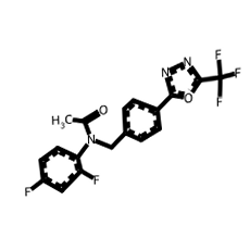 CC(=O)N(Cc1ccc(-c2nnc(C(F)(F)F)o2)cc1)c1ccc(F)cc1F